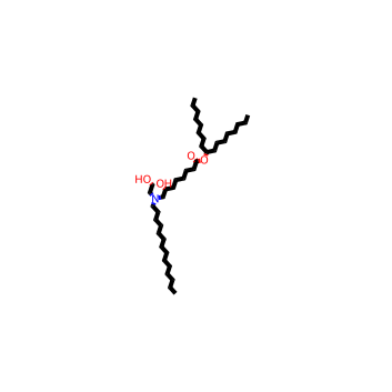 CCCCCCCCCCCCCCN(CCO)CC(O)CCCCCC(=O)OC(CCCCCCCC)CCCCCCCC